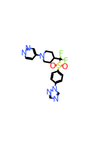 O=S(=O)(c1ccc(-n2cncn2)cc1)C(F)(F)C1CCN(c2ccnnc2)CC1